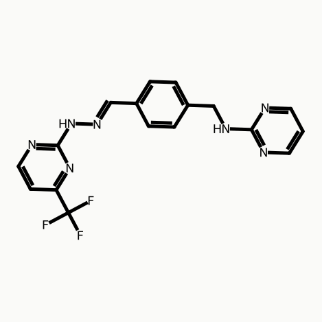 FC(F)(F)c1ccnc(N/N=C/c2ccc(CNc3ncccn3)cc2)n1